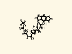 CN(C(=O)c1coc(S(=N)(=O)NC(=O)Nc2c3c(cc4c2CCC4)CCC3)c1)C1CN(C(=O)OC(C)(C)C)C1